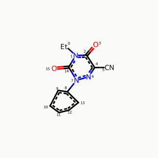 CCn1c(=O)c(C#N)nn(-c2ccccc2)c1=O